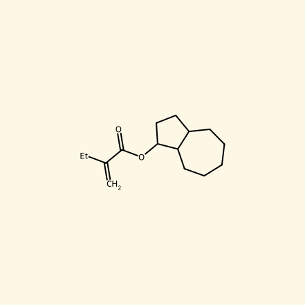 C=C(CC)C(=O)OC1CCC2CCCCCC21